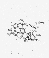 C=CCOc1c(C)c2c(c3c1CC1[C@@H]4c5c(cc(C)c(OC)c5OCOCCOC)C[C@H]([C@H](C#N)N1[C@H]3CO[Si](C)(C)C(C)(C)C)N4C)OCO2